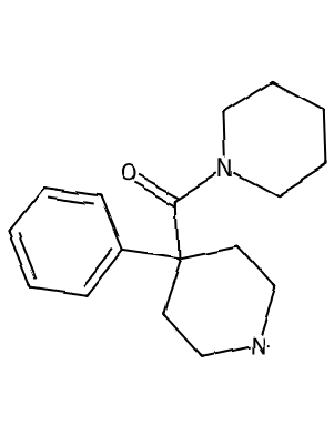 O=C(N1CCCCC1)C1(c2ccccc2)CC[N]CC1